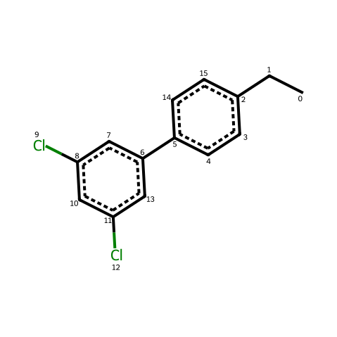 CCc1ccc(-c2cc(Cl)cc(Cl)c2)cc1